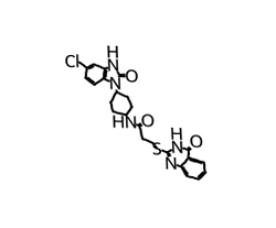 O=C(CCSc1nc2ccccc2c(=O)[nH]1)N[C@H]1CC[C@H](n2c(=O)[nH]c3cc(Cl)ccc32)CC1